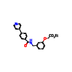 CCOC(=O)COc1cccc(CNC(=O)c2ccc(-c3ccncc3)cc2)c1